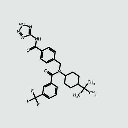 CC(C)(C)C1CCC(N(Cc2ccc(C(=O)Nc3nn[nH]n3)cc2)C(=O)c2cccc(C(F)(F)F)c2)CC1